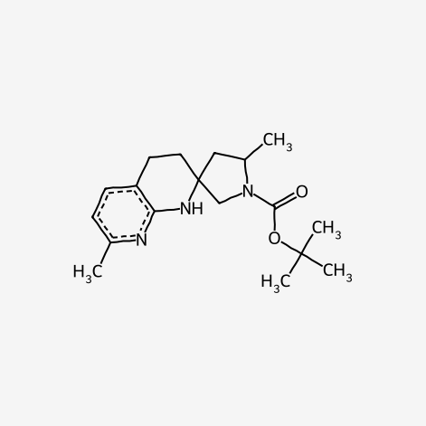 Cc1ccc2c(n1)NC1(CC2)CC(C)N(C(=O)OC(C)(C)C)C1